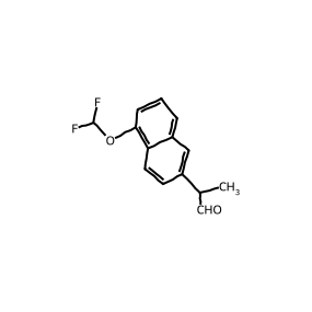 CC(C=O)c1ccc2c(OC(F)F)cccc2c1